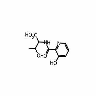 CC(O)C(NC(=O)c1ncccc1O)C(=O)O